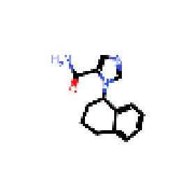 NC(=O)c1cncn1C1CCCc2ccccc21